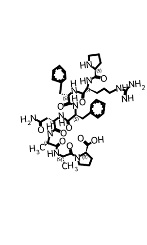 C[C@H](NC(=O)[C@H](CC(N)=O)NC(=O)[C@H](Cc1ccccc1)NC(=O)[C@H](Cc1ccccc1)NC(=O)[C@H](CCCNC(=N)N)NC(=O)[C@@H]1CCCN1)C(=O)N[C@@H](C)C(=O)N1CCC[C@@H]1C(=O)O